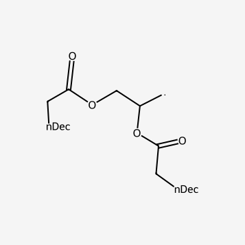 [CH2]C(COC(=O)CCCCCCCCCCC)OC(=O)CCCCCCCCCCC